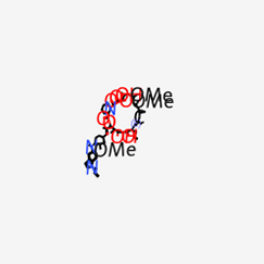 C=CCC1/C=C(\C)CC(C)CC(OC)C2OC(O)(C(=O)C(=O)N3CCCCC3C(=O)OC(C(C)=CC3CCC(N(C)c4ccc5c(ccn5CC=C)c4)C(OC)C3)C(C)C(O)CC1=O)C(C)CC2OC